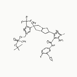 Cn1nc(C2CC3CC(O)(c4cn(COP(=O)(O)OC(C)(C)C)nc4C(F)(F)F)CC3C2)c(C(=O)Nc2ccc(F)c(Cl)c2)c1N